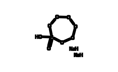 O=P1(O)OOOOOO1.[NaH].[NaH]